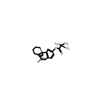 CC(C)(C)C(=O)Oc1ccc2c(c1)[C@@]13CCCC[C@H]1[C@@H](C2)NCC3